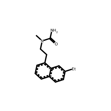 CCc1ccc2cccc(CCN(C)C(N)=O)c2c1